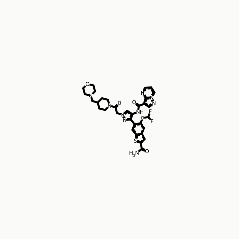 NC(=O)c1cc2cc(OC(F)F)c(-c3nn(CC(=O)N4CCC(CN5CCOCC5)CC4)cc3NC(=O)c3cnn4cccnc34)cc2s1